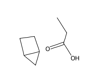 C1CC2CC12.CCC(=O)O